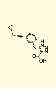 O=C(O)c1nn[nH]c1Sc1cccc(C#CCC2CC2)c1